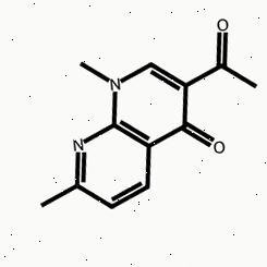 CC(=O)c1cn(C)c2nc(C)ccc2c1=O